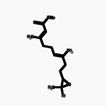 CCC1(C)OC1CCC(C)=CCCC(C)=CC(=O)OC